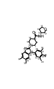 Cc1cc2nc(N3CCC(C(=O)N[C@@H]4CCOC4)CC3)n(-c3cc(C)c(F)c(C)c3)c2cc1C